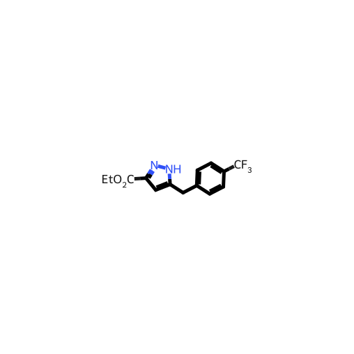 CCOC(=O)c1cc(Cc2ccc(C(F)(F)F)cc2)[nH]n1